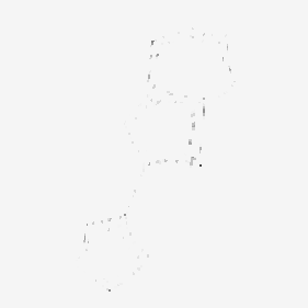 c1ccc2[nH]c(-c3ccsc3)cc2c1